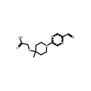 CC1(OCC(=O)O)CCN(c2cnc(C=O)cn2)CC1